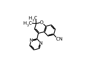 CC1(C)C=C(c2ncccn2)c2cc(C#N)ccc2O1